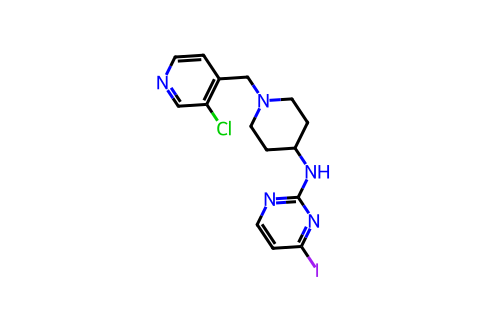 Clc1cnccc1CN1CCC(Nc2nccc(I)n2)CC1